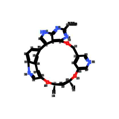 CNc1nc2c3c(c[nH]c3n1)-c1ccc3ncc(cc3c1)O[C@H]1C[C@H](C1)Oc1cncc(c1)CO2